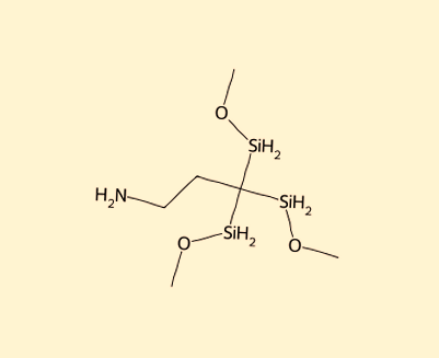 CO[SiH2]C(CCN)([SiH2]OC)[SiH2]OC